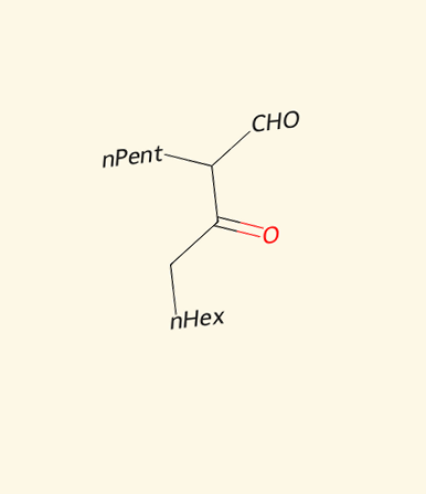 CCCCCCCC(=O)C(C=O)CCCCC